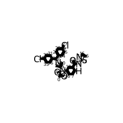 CS(=O)(=O)N(c1cccc(C(=O)Nc2nccs2)c1)C1CN(C(c2ccc(Cl)cc2)c2ccc(Cl)cc2)C1